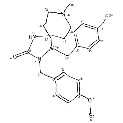 CCOc1ccc(CN2C(=O)NC3(CCN(C)CC3)N2Cc2ccc(F)cc2)cc1